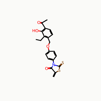 C=C1SC(=S)N(c2ccc(OCc3ccc(C(C)=O)c(O)c3CC)cc2)C1=O